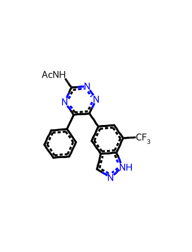 CC(=O)Nc1nnc(-c2cc(C(F)(F)F)c3[nH]ncc3c2)c(-c2ccccc2)n1